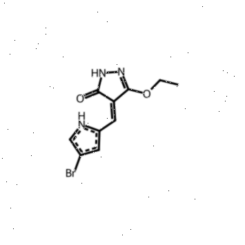 CCOC1=NNC(=O)C1=Cc1cc(Br)c[nH]1